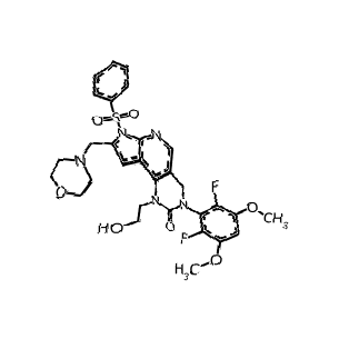 COc1cc(OC)c(F)c(N2Cc3cnc4c(cc(CN5CCOCC5)n4S(=O)(=O)c4ccccc4)c3N(CCO)C2=O)c1F